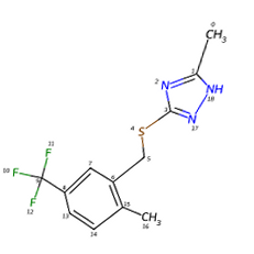 Cc1nc(SCc2cc(C(F)(F)F)ccc2C)n[nH]1